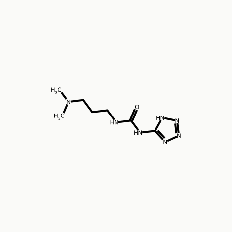 CN(C)CCCNC(=O)Nc1nnn[nH]1